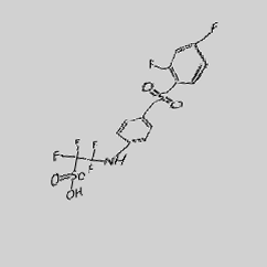 O=S(=O)(c1ccc(NC(F)(F)C(F)(F)S(=O)(=O)O)cc1)c1ccc(F)cc1F